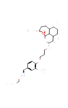 COc1cc(/C=N/OCC(=O)O)ccc1OCCCO[C@H]1O[C@@H]2O[C@@]3(C)CCC4[C@H](C)CC[C@@H]([C@H]1C)[C@]42OO3